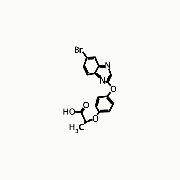 CC(Oc1ccc(Oc2cnc3cc(Br)ccc3n2)cc1)C(=O)O